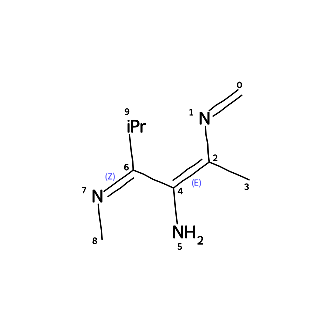 C=N/C(C)=C(N)\C(=N/C)C(C)C